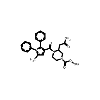 Cc1cc(C(=O)N2CCN(C(=O)OC(C)(C)C)CC2CC(N)=O)c(-c2ccccc2)n1-c1ccccc1